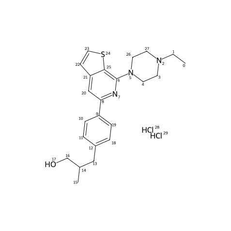 CCN1CCN(c2nc(-c3ccc(CC(C)CO)cc3)cc3ccsc23)CC1.Cl.Cl